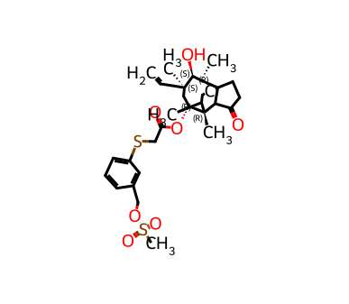 C=C[C@]1(C)C[C@@H](OC(=O)CSc2cccc(COS(C)(=O)=O)c2)[C@]2(C)C(C)CCC3(CCC(=O)C32)[C@@H](C)[C@@H]1O